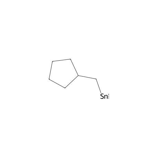 [Sn][CH2]C1CCCC1